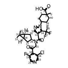 CC1(C(=O)O)CCC(n2ncc(C(=O)N(CC(=O)c3c(F)cncc3Cl)[C@H]3C[C@@H]4[C@H](C3)C4(C)C)c2C(F)(F)F)CC1